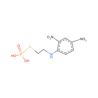 O=[N+]([O-])c1ccc(NCCSP(=O)(O)O)c([N+](=O)[O-])c1